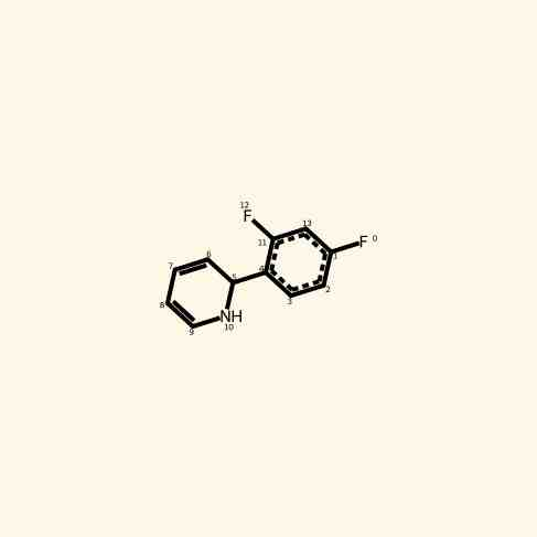 Fc1ccc([C]2C=CC=CN2)c(F)c1